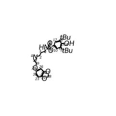 CN(CCCNS(=O)(=O)c1cc(C(C)(C)C)c(O)c(C(C)(C)C)c1)CCOc1ccc2c(c1)OCO2